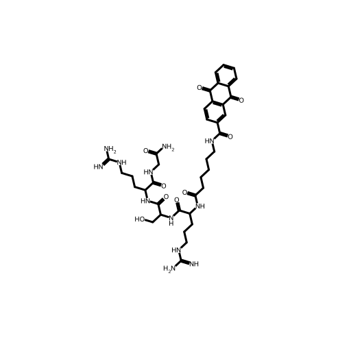 N=C(N)NCCCC(NC(=O)CCCCCNC(=O)c1ccc2c(c1)C(=O)c1ccccc1C2=O)C(=O)NC(CO)C(=O)NC(CCCNC(=N)N)C(=O)NCC(N)=O